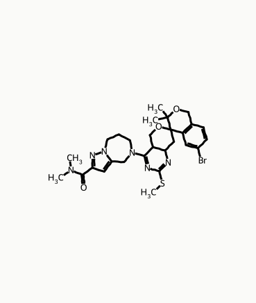 CSC1=NC2CC3(OCC2C(N2CCCn4nc(C(=O)N(C)C)cc4C2)=N1)c1cc(Br)ccc1COC3(C)C